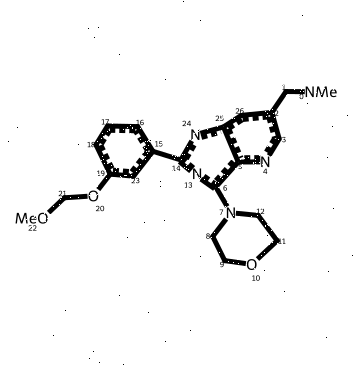 CNCc1cnc2c(N3CCOCC3)nc(-c3cccc(OCOC)c3)nc2c1